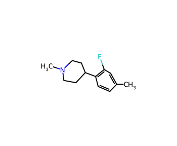 Cc1ccc(C2CCN(C)CC2)c(F)c1